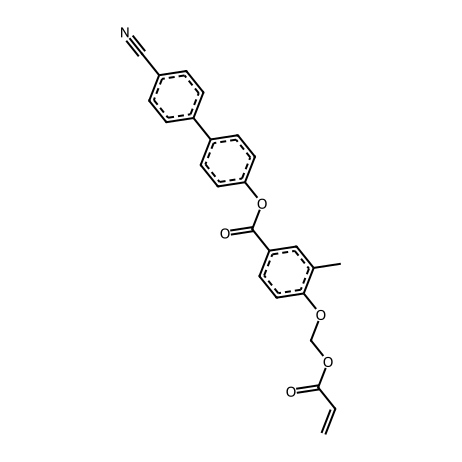 C=CC(=O)OCOc1ccc(C(=O)Oc2ccc(-c3ccc(C#N)cc3)cc2)cc1C